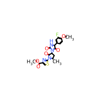 COC(=O)c1csc(N2C(=O)C(N3C(=O)NC(c4ccc(OC)c(F)c4)C3=O)CC2C)n1